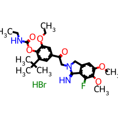 Br.CCNC(=O)Oc1c(OCC)cc(C(=O)CN2Cc3cc(OC)c(OC)c(F)c3C2=N)cc1C(C)(C)C